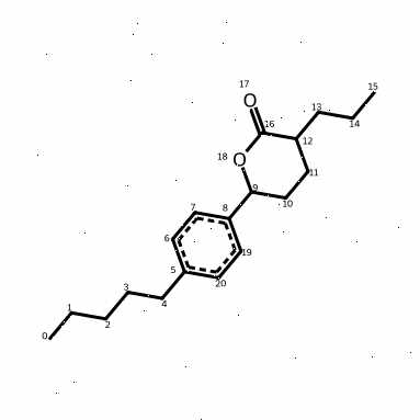 CCCCCc1ccc(C2CCC(CCC)C(=O)O2)cc1